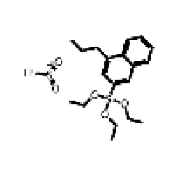 CCCc1cc([Si](OCC)(OCC)OCC)cc2ccccc12.O=[SH](=O)S